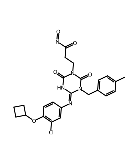 Cc1ccc(Cn2c(=O)n(CCC(=O)N=O)c(=O)[nH]/c2=N\c2ccc(OC3CCC3)c(Cl)c2)cc1